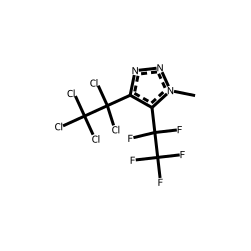 Cn1nnc(C(Cl)(Cl)C(Cl)(Cl)Cl)c1C(F)(F)C(F)(F)F